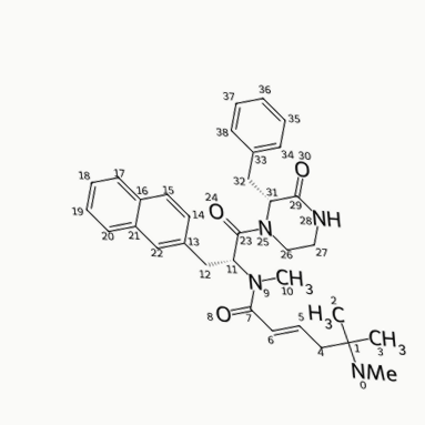 CNC(C)(C)C/C=C/C(=O)N(C)[C@H](Cc1ccc2ccccc2c1)C(=O)N1CCNC(=O)[C@H]1Cc1ccccc1